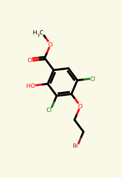 COC(=O)c1cc(Cl)c(OCCBr)c(Cl)c1O